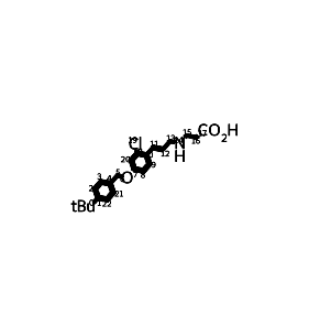 CC(C)(C)c1ccc(COc2ccc(C=CCNCCC(=O)O)c(Cl)c2)cc1